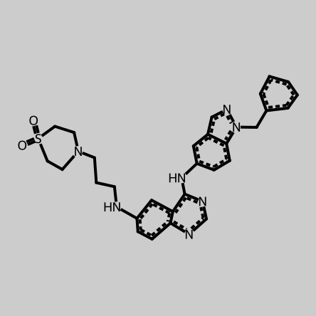 O=S1(=O)CCN(CCCNc2ccc3ncnc(Nc4ccc5c(cnn5Cc5ccccc5)c4)c3c2)CC1